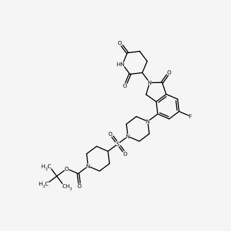 CC(C)(C)OC(=O)N1CCC(S(=O)(=O)N2CCN(c3cc(F)cc4c3CN(C3CCC(=O)NC3=O)C4=O)CC2)CC1